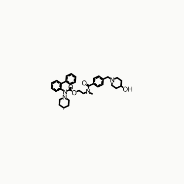 CN(CCOC(=O)N(c1ccccc1-c1ccccc1)N1CC[CH]CC1)C(=O)c1ccc(CN2CCC(O)CC2)cc1